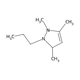 CCCN1C(C)C=C(C)N1C